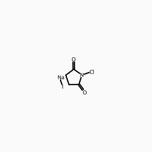 O=C1CCC(=O)N1Cl.[Na][I]